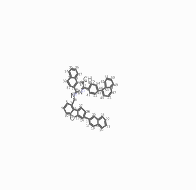 C=N/C(=N\C(=N/Cc1cccc2oc3cc(-c4ccc5ccccc5c4)ccc3c12)c1ccc2ccccc2c1)c1ccc(-c2cccc3ccccc23)cc1